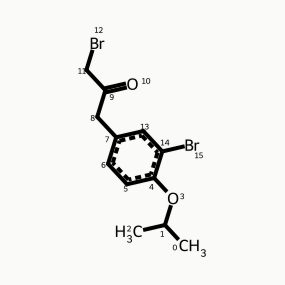 CC(C)Oc1ccc(CC(=O)CBr)cc1Br